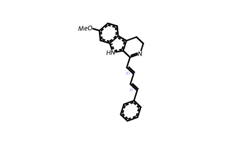 COc1ccc2c3c([nH]c2c1)C(/C=C/C=C/c1ccccc1)=NCC3